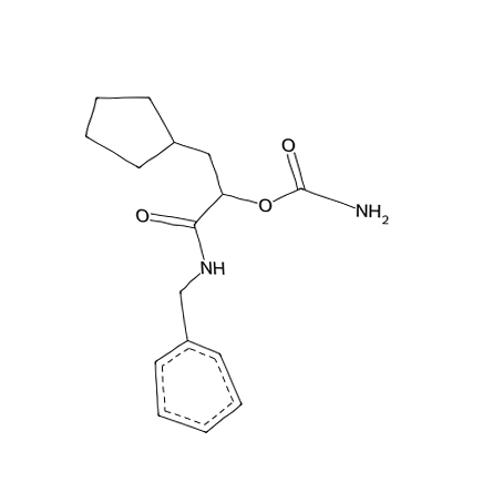 NC(=O)OC(CC1CCCC1)C(=O)NCc1ccccc1